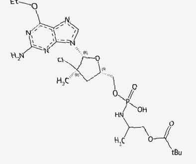 CCOc1nc(N)nc2c1ncn2[C@@H]1O[C@H](COP(=O)(O)NC(C)COC(=O)C(C)(C)C)C[C@@]1(C)Cl